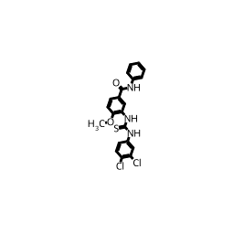 COc1ccc(C(=O)Nc2ccccc2)cc1NC(=S)Nc1ccc(Cl)c(Cl)c1